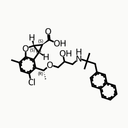 Cc1cc(Cl)c([C@@H](C)OCC(O)CNC(C)(C)Cc2ccc3ccccc3c2)c2c1O[C@@H]1[C@@H](C(=O)O)[C@H]21